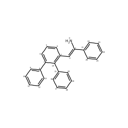 NC(=Cc1cccc(-c2ccccc2)c1-c1ccccc1)c1ccccc1